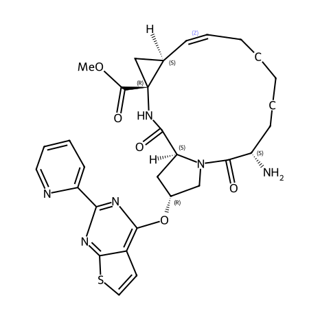 COC(=O)[C@@]12C[C@H]1/C=C\CCCCC[C@H](N)C(=O)N1C[C@H](Oc3nc(-c4ccccn4)nc4sccc34)C[C@H]1C(=O)N2